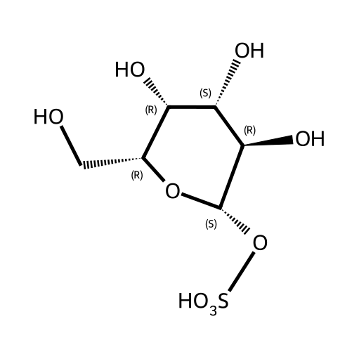 O=S(=O)(O)O[C@@H]1O[C@H](CO)[C@H](O)[C@H](O)[C@H]1O